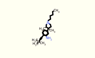 CCCCCCN1CC[C@](C)(c2ccc(C#C[Si](C)(C)C)c(N)c2)[C@@H](C)C1